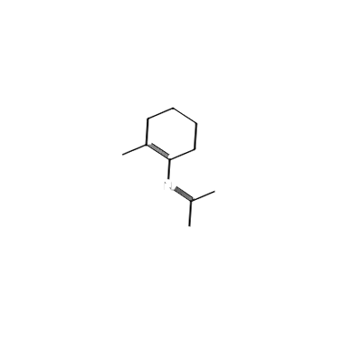 CC(C)=NC1=C(C)CCCC1